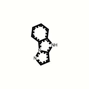 [c]1cnn2c1[nH]c1ccccc12